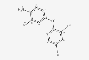 Nc1ncc(Oc2ccc(F)cc2F)cc1Br